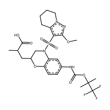 COc1nn2c(c1S(=O)(=O)N1CC(CC(C)C(=O)O)Oc3ccc(NC(=O)OC(C)(C)C(F)(F)F)cc31)CCCC2